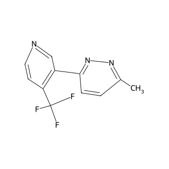 Cc1ccc(-c2cnccc2C(F)(F)F)nn1